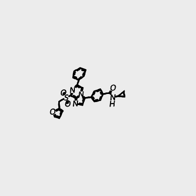 O=C(NC1CC1)c1ccc(-c2cnc3c(S(=O)(=O)Cc4ccco4)nc(-c4ccccc4)cn23)cc1